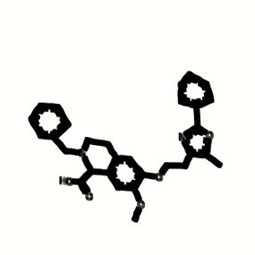 COc1cc2c(cc1OCCc1nc(-c3ccccc3)oc1C)CCN(Cc1ccccc1)C2C(=O)O